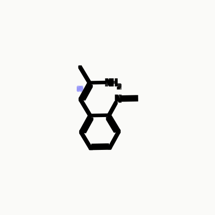 C=Nc1ccccc1/C=C(/C)N